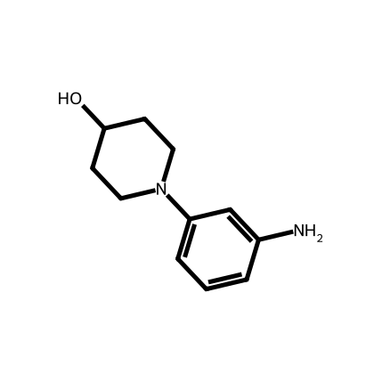 Nc1cccc(N2CCC(O)CC2)c1